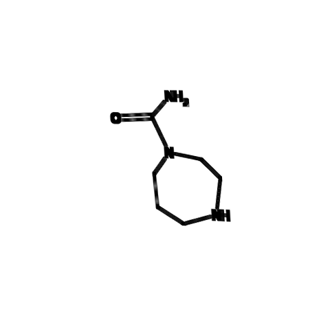 NC(=O)N1CCCNCC1